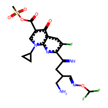 CS(=O)(=O)OC(=O)c1cn(C2CC2)c2nc(C(=N)CC(C=NOC(F)F)CN)c(F)cc2c1=O